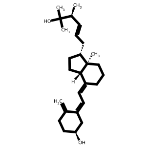 C=C1CC[C@H](O)C/C1=C/C=C1\CCC[C@]2(C)[C@@H](C/C=C/[C@H](C)C(C)(C)O)CC[C@@H]12